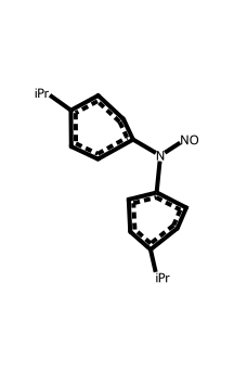 CC(C)c1ccc(N(N=O)c2ccc(C(C)C)cc2)cc1